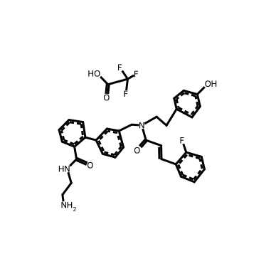 NCCNC(=O)c1ccccc1-c1cccc(CN(CCc2ccc(O)cc2)C(=O)/C=C/c2ccccc2F)c1.O=C(O)C(F)(F)F